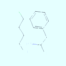 CC(N)Cc1ccccc1.CCCCCCl